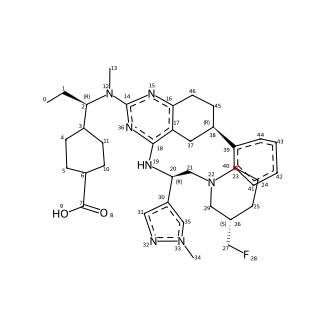 CC[C@H](C1CCC(C(=O)O)CC1)N(C)c1nc2c(c(N[C@@H](CN3CCC[C@H](CF)C3)c3cnn(C)c3)n1)C[C@H](c1ccccc1)CC2